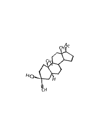 C#C[C@]1(O)CC[C@]2(C)C3CC[C@@]4(C)C(CC[C@@H]4C(C)=O)C3CC[C@@H]2C1